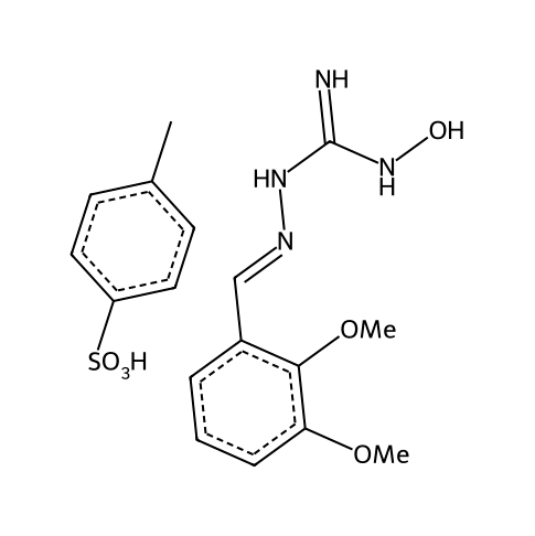 COc1cccc(C=NNC(=N)NO)c1OC.Cc1ccc(S(=O)(=O)O)cc1